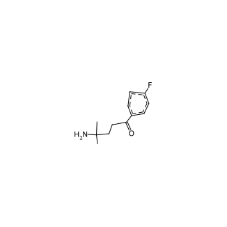 CC(C)(N)CCC(=O)c1ccc(F)cc1